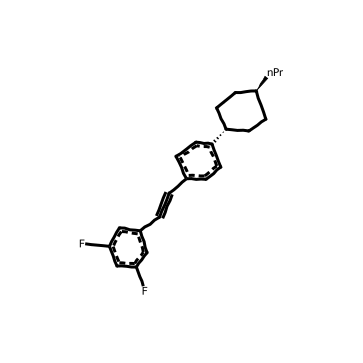 CCC[C@H]1CC[C@H](c2ccc(C#Cc3cc(F)cc(F)c3)cc2)CC1